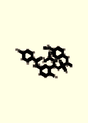 CCCC[S+]([O-])N[C@@H](CS(=O)(=O)N(C)Cc1ccc(OC)cc1)c1cc(NC(=O)c2ccc(F)cn2)ccc1F